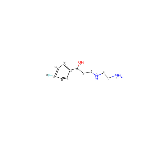 NCCNCCC(O)c1ccc(F)cc1